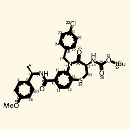 COc1ccc([C@@H](C)NC(=O)c2ccc3c(c2)N(Cc2ccc(Cl)cc2)C(=O)[C@@H](NC(=O)OC(C)(C)C)CS3)cc1